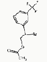 CC(=O)OCC(Br)c1cccc(C(F)(F)F)c1